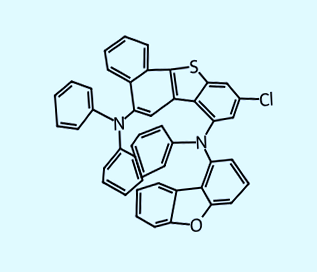 Clc1cc(N(c2ccccc2)c2cccc3oc4ccccc4c23)c2c(c1)sc1c3ccccc3c(N(c3ccccc3)c3ccccc3)cc12